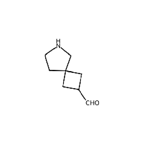 O=CC1CC2(CCNC2)C1